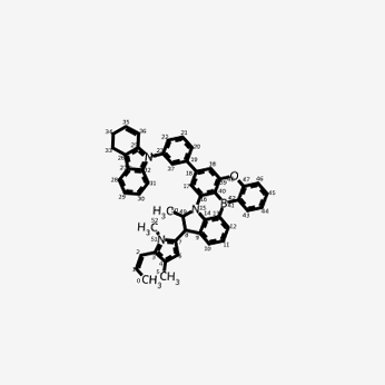 C/C=C\c1c(C)cc(C2c3cccc4c3N(c3cc(-c5cccc(-n6c7c(c8ccccc86)CCC=C7)c5)cc5c3B4c3ccccc3O5)C2C)n1C